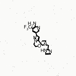 Nc1ncc(-c2cc3n(n2)CCO[C@@]32CCN(Cc3ncc[nH]3)C2)cc1C(F)(F)F